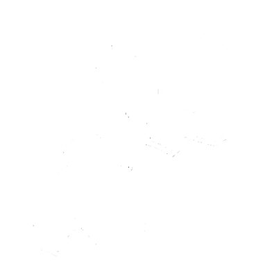 Cc1cc(C)c(B2c3cc(Cl)ccc3N3c4cc5ccccc5c5c4N(c4ccc(Cl)cc4B5c4c(C)cc(C)cc4C)c4cc5ccccc5c2c43)c(C)c1